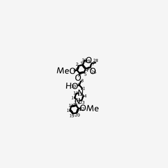 COc1cc2c(cc1OCC(O)CN1CCN(c3ccccc3OC)CC1)C(=O)C(C)OC2